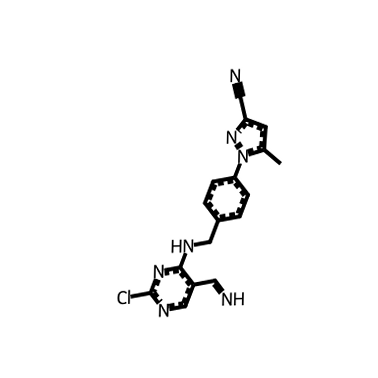 Cc1cc(C#N)nn1-c1ccc(CNc2nc(Cl)ncc2C=N)cc1